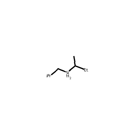 CCC(C)[SiH2]CC(C)C